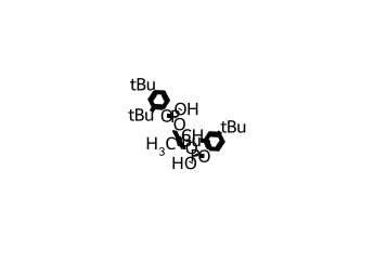 CC(C)(COP(O)Oc1ccc(C(C)(C)C)cc1C(C)(C)C)COP(O)Oc1ccc(C(C)(C)C)cc1C(C)(C)C